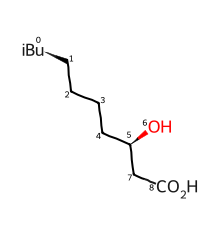 CC[C@H](C)CCCC[C@@H](O)CC(=O)O